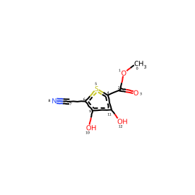 COC(=O)c1sc(C#N)c(O)c1O